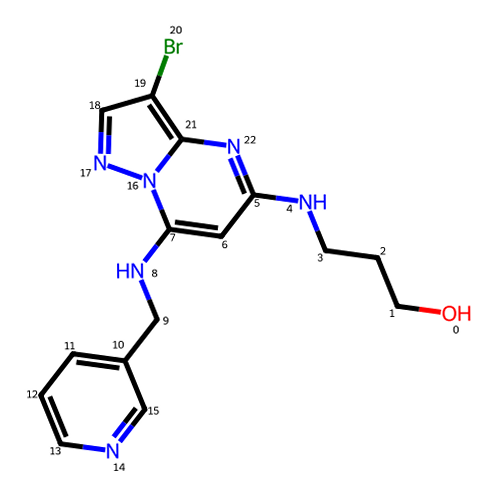 OCCCNc1cc(NCc2cccnc2)n2ncc(Br)c2n1